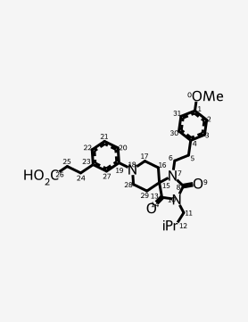 COc1ccc(CCN2C(=O)N(CC(C)C)C(=O)C23CCN(c2cccc(CCC(=O)O)c2)CC3)cc1